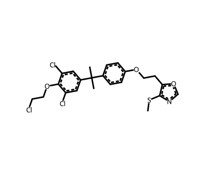 CSc1ncoc1CCOc1ccc(C(C)(C)c2cc(Cl)c(OCCCl)c(Cl)c2)cc1